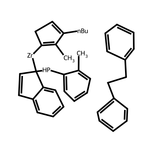 CCCCC1=CC[C]([Zr][C]2(Pc3ccccc3C)C=Cc3ccccc32)=C1C.c1ccc(CCc2ccccc2)cc1